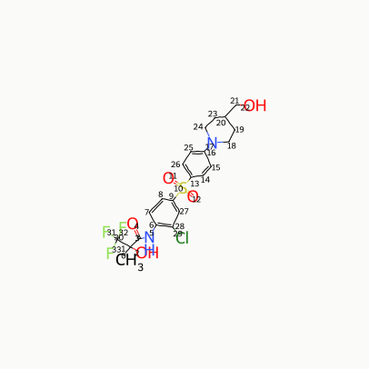 CC(O)(C(=O)Nc1ccc(S(=O)(=O)c2ccc(N3CCC(CO)CC3)cc2)cc1Cl)C(F)(F)F